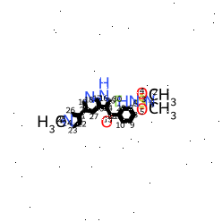 CN(C)S(=O)(=O)Nc1cccc(C(=O)c2c[nH]c3ncc(-c4ccn(C)c4)cc23)c1F